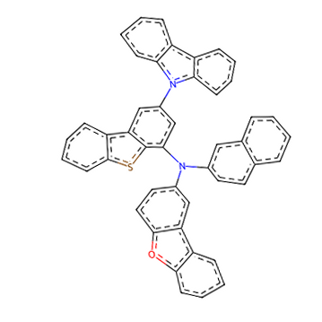 c1ccc2cc(N(c3ccc4oc5ccccc5c4c3)c3cc(-n4c5ccccc5c5ccccc54)cc4c3sc3ccccc34)ccc2c1